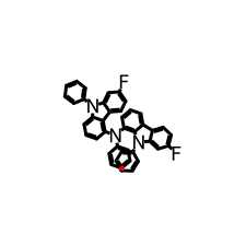 Fc1ccc2c3c(N(c4ccccc4)c4cccc5c6ccc(F)cc6n(-c6ccccc6)c45)cccc3n(-c3ccccc3)c2c1